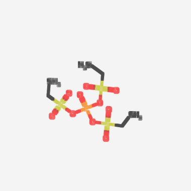 O=P(OS(=O)(=O)C[SiH3])(OS(=O)(=O)C[SiH3])OS(=O)(=O)C[SiH3]